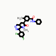 Cc1ccc(C(=O)Nc2ccccc2)cc1-c1cc2cnnc(-c3ccc(F)cc3F)c2n(C)c1=O